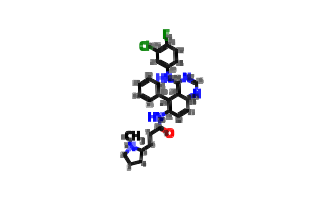 CN1CCCC1C=CC(=O)Nc1ccc2ncnc(Nc3ccc(F)c(Cl)c3)c2c1-c1ccccc1